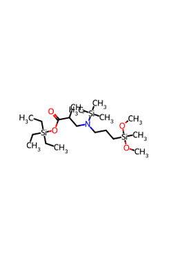 CC[Si](CC)(CC)OC(=O)C(C)CN(CCC[Si](C)(OC)OC)[Si](C)(C)C